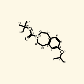 CC(C)Oc1ccc2c(c1)CCN(C(=O)OC(C)(C)C)CC2